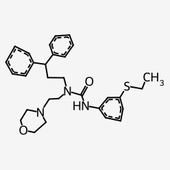 CCSc1cccc(NC(=O)N(CCC(c2ccccc2)c2ccccc2)CCN2CCOCC2)c1